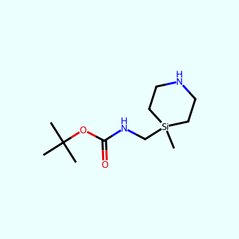 CC(C)(C)OC(=O)NC[Si]1(C)CCNCC1